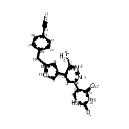 Cc1nnc(-c2c[nH]c(=O)[nH]c2=O)cc1-c1coc(Cc2ccc(C#N)cc2)c1